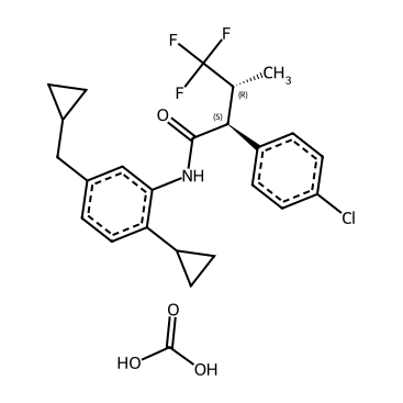 C[C@H]([C@H](C(=O)Nc1cc(CC2CC2)ccc1C1CC1)c1ccc(Cl)cc1)C(F)(F)F.O=C(O)O